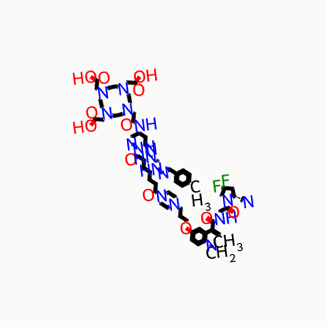 C=Nc1ccc(OCCCN2CCN(C(=O)CCCCCC(=O)N/N=C\C(C/C=N/NCN/N=C/c3ccc(C)cc3)NC(=O)CN3CCN(CC(=O)O)CCN(CC(=O)O)CCN(CC(=O)O)CC3)CC2)cc1/C(=C\C)C(=O)NCC(=O)N1CC(F)(F)C[C@@H]1C#N